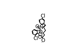 COC(=O)CCCc1cc2cc(Cl)ccc2n1S(=O)(=O)c1cccc(Cl)c1Cl